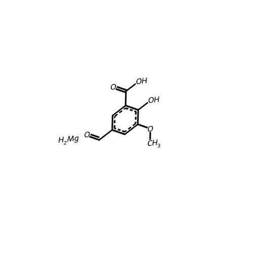 COc1cc(C=O)cc(C(=O)O)c1O.[MgH2]